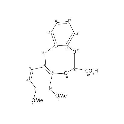 COc1ccc2c(c1OC)OC(C(=O)O)Oc1ccccc1C2